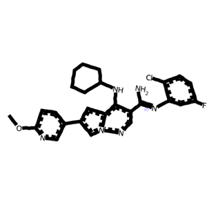 COc1ccc(-c2cc3c(NC4CCCCC4)c(/C(N)=N/c4cc(F)ccc4Cl)cnn3c2)cn1